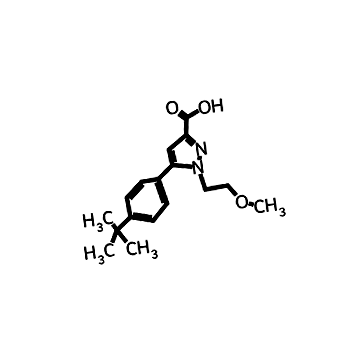 COCCn1nc(C(=O)O)cc1-c1ccc(C(C)(C)C)cc1